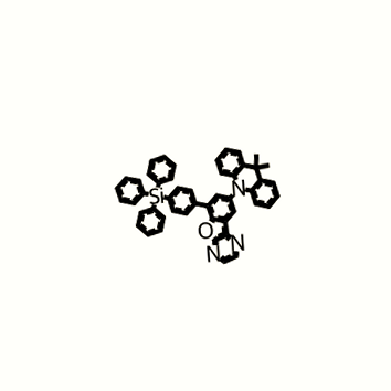 CC1(C)c2ccccc2N(c2cc(-c3ccc([Si](c4ccccc4)(c4ccccc4)c4ccccc4)cc3)c3oc4nccnc4c3c2)c2ccccc21